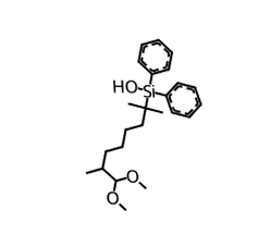 COC(OC)C(C)CCCCC(C)(C)[Si](O)(c1ccccc1)c1ccccc1